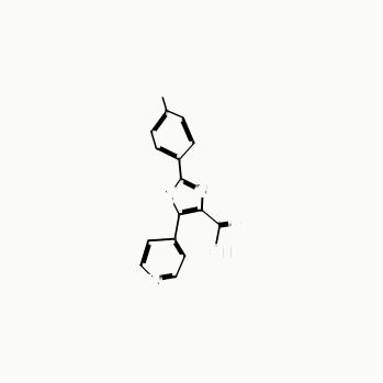 Cc1ccc(-c2nc(C(=O)O)c(-c3ccncc3)[nH]2)cc1